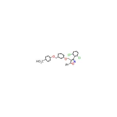 CC(C)c1onc(-c2c(Cl)cccc2Cl)c1COc1cccc(COc2ccc(C(=O)O)cc2)c1